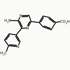 Cc1ccc(-c2nc(-c3ccc(C(=O)O)cc3)cnc2N)cn1